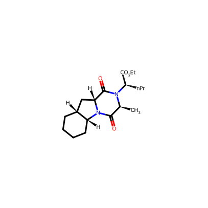 CCC[C@H](C(=O)OCC)N1C(=O)[C@H]2C[C@H]3CCCC[C@H]3N2C(=O)[C@@H]1C